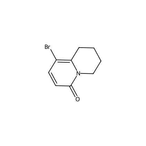 O=c1ccc(Br)c2n1CCCC2